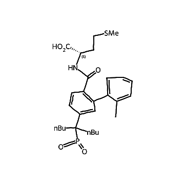 CCCCC(CCCC)(c1ccc(C(=O)N[C@@H](CCSC)C(=O)O)c(-c2ccccc2C)c1)P(=O)=O